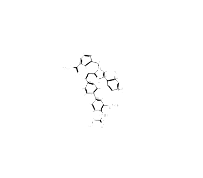 COC(=O)c1cccc(Cn2cc(-c3ccc(Cl)cc3Cl)nc2C=Cc2ccc(-c3ccc(NC(=O)OC(C)C)c(OC)c3)cc2)c1